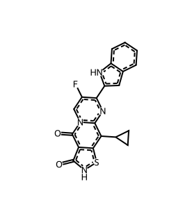 O=c1[nH]sc2c(C3CC3)c3nc(-c4cc5ccccc5[nH]4)c(F)cn3c(=O)c12